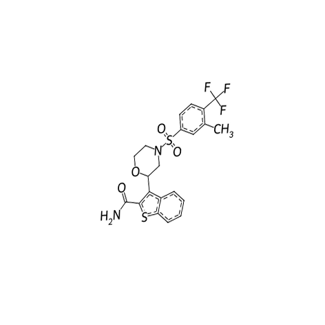 Cc1cc(S(=O)(=O)N2CCOC(c3c(C(N)=O)sc4ccccc34)C2)ccc1C(F)(F)F